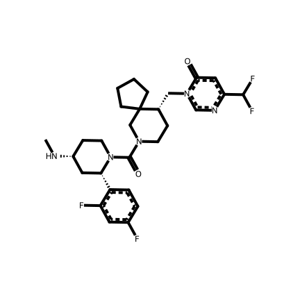 CN[C@@H]1CCN(C(=O)N2CC[C@@H](Cn3cnc(C(F)F)cc3=O)C3(CCCC3)C2)[C@H](c2ccc(F)cc2F)C1